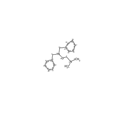 CN(C)CON(Cc1ccccc1)Cc1ccccc1